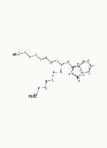 CCCCCCCCCCCCCCCCCC(CCCCCCCCCCCCCCCC)Cn1cnc2ccccc21